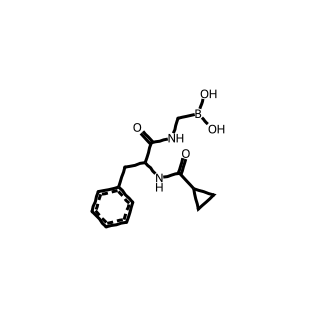 O=C(NC(Cc1ccccc1)C(=O)NCB(O)O)C1CC1